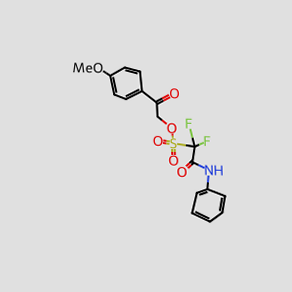 COc1ccc(C(=O)COS(=O)(=O)C(F)(F)C(=O)Nc2ccccc2)cc1